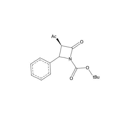 CC(=O)[C@H]1C(=O)N(C(=O)OC(C)(C)C)C1c1ccccc1